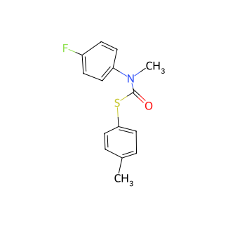 Cc1ccc(SC(=O)N(C)c2ccc(F)cc2)cc1